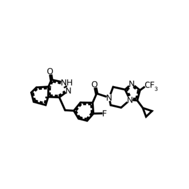 O=C(c1cc(Cc2n[nH]c(=O)c3ccccc23)ccc1F)N1CCn2c(nc(C(F)(F)F)c2C2CC2)C1